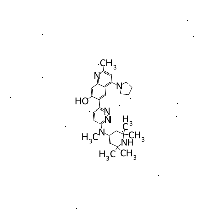 Cc1cc(N2CCCC2)c2cc(-c3ccc(N(C)C4CC(C)(C)NC(C)(C)C4)nn3)c(O)cc2n1